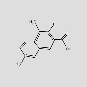 Cc1ccc2c(C)c(F)c(C(=O)O)cc2c1